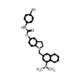 CC(C)c1ccc(NC(=O)Oc2ccc3c(c2)CCN3Cc2cc(N(C)C)c3ccccc3c2)cc1